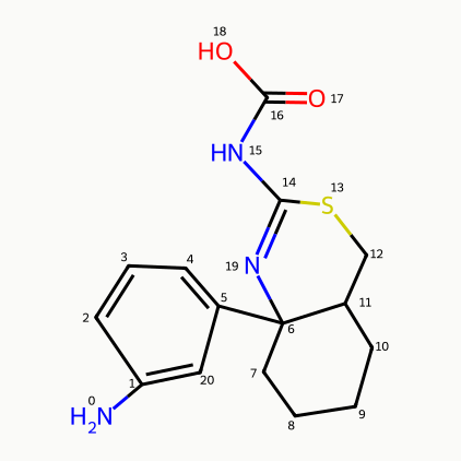 Nc1cccc(C23CCCCC2CSC(NC(=O)O)=N3)c1